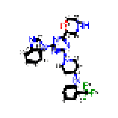 FC(F)(F)c1ccccc1NC1CCN(c2nc(C3CNCCO3)nc(-n3cnc4ccccc43)n2)CC1